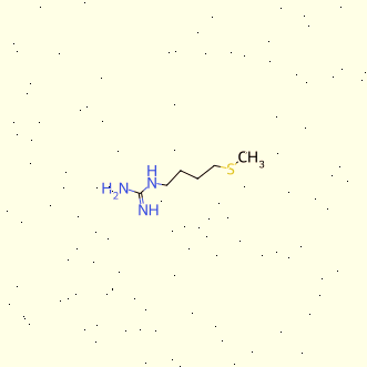 CSCCCCNC(=N)N